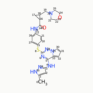 Cc1cc(Nc2nc(Sc3ccc(NC(=O)C4CC4CN4CCOCC4)cc3)nn3cccc23)n[nH]1